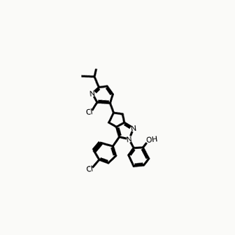 CC(C)c1ccc(C2Cc3nn(-c4ccccc4O)c(-c4c#cc(Cl)cc4)c3C2)c(Cl)n1